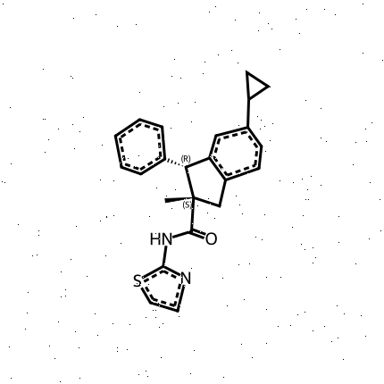 C[C@]1(C(=O)Nc2nccs2)Cc2ccc(C3CC3)cc2[C@H]1c1ccccc1